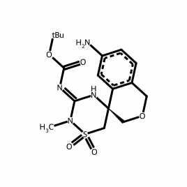 CN1/C(=N/C(=O)OC(C)(C)C)N[C@@]2(COCc3ccc(N)cc32)CS1(=O)=O